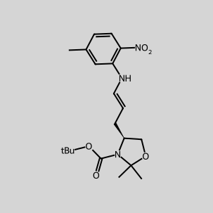 Cc1ccc([N+](=O)[O-])c(NC=CC[C@H]2COC(C)(C)N2C(=O)OC(C)(C)C)c1